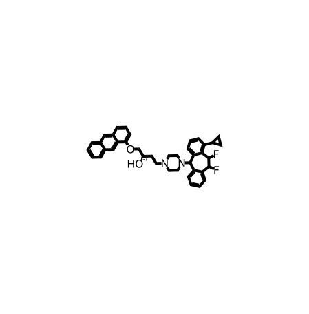 O[C@@H](CCN1CCN(C2c3ccccc3C(F)C(F)c3c(C4CC4)cccc32)CC1)COc1cccc2cc3ccccc3cc12